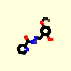 COc1ccc(O)c(C=NNC(=O)c2ccccn2)c1